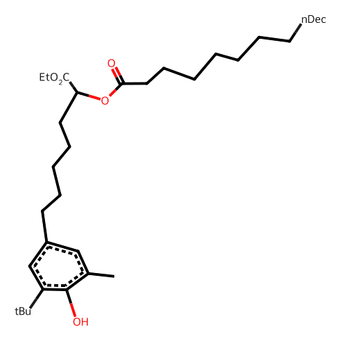 CCCCCCCCCCCCCCCCCC(=O)OC(CCCCCc1cc(C)c(O)c(C(C)(C)C)c1)C(=O)OCC